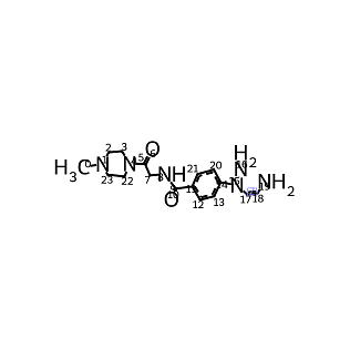 CN1CCN(C(=O)CNC(=O)c2ccc(N(N)/C=C\N)cc2)CC1